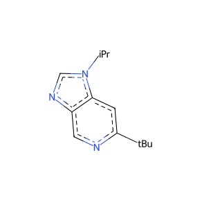 CC(C)n1cnc2cnc(C(C)(C)C)cc21